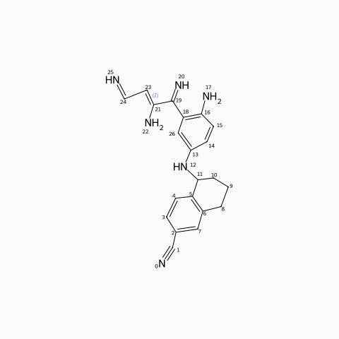 N#Cc1ccc2c(c1)CCCC2Nc1ccc(N)c(C(=N)/C(N)=C/C=N)c1